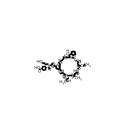 CNC(=O)C[C@@H]1NC(=O)c2csc(n2)-c2ccc(-c3nc(N(CCCCO)C(=O)[C@H]4CC[C@H](C(=O)O)CC4)cs3)nc2-c2csc(n2)-c2csc(n2)[C@H]([C@@H](O)c2ccccc2)NC(=O)CNC(=O)c2nc(sc2COC)NC(=O)c2nc1sc2C